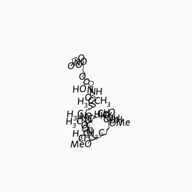 COc1cc2cc(c1Cl)N(C)C(=O)C[C@H](OC(=O)[C@H](C)N(C)C(=O)CCSSC(C)(C)CC(=O)N/N=C1\CCc3cc(OCCCC(=O)ON4C(=O)CCC4=O)cc(O)c31)[C@@]1(C)C[C@H]1[C@H](C)[C@@H]1C[C@@](O)(NC(=O)O1)[C@H](OC)/C=C/C=C(\C)C2